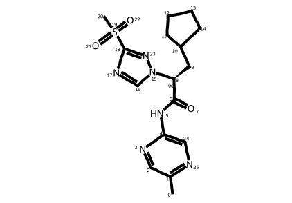 Cc1cnc(NC(=O)[C@H](CC2CCCC2)n2cnc(S(C)(=O)=O)n2)cn1